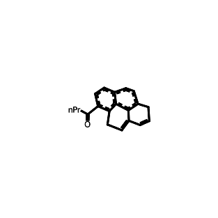 CCCC(=O)c1ccc2ccc3c4c2c1CC=C4C=CC3